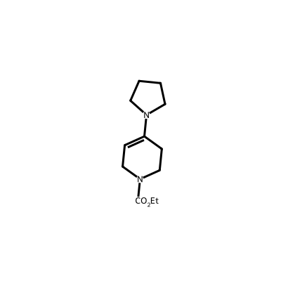 CCOC(=O)N1CC=C(N2CCCC2)CC1